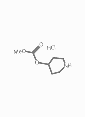 COC(=O)OC1CCNCC1.Cl